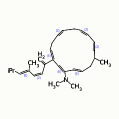 C=C(/C=C\C(C)=C\C(C)C)C1=C/C/C=C\C/C=C\C=C/C(C)C/C=C/C(N(C)C)=C\1